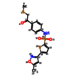 CC(=O)SCC(=O)c1ccc(NS(=O)(=O)c2ccc(-c3cc(C(F)(F)F)on3)s2)cc1